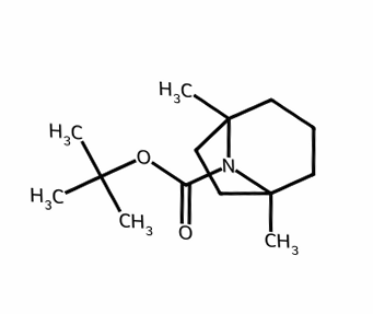 CC(C)(C)OC(=O)N1C2(C)CCCC1(C)CC2